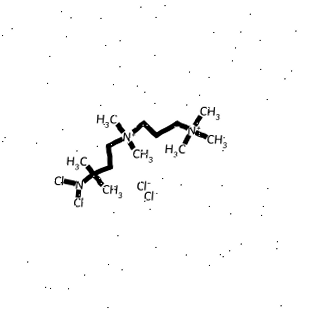 CC(C)(CC[N+](C)(C)CCC[N+](C)(C)C)N(Cl)Cl.[Cl-].[Cl-]